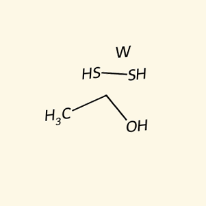 CCO.SS.[W]